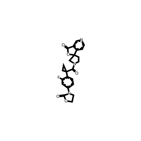 O=C1OC2(CCN(C(=O)C3(c4ccc(N5CCOC5=O)cc4F)CC3)C2)c2ccncc21